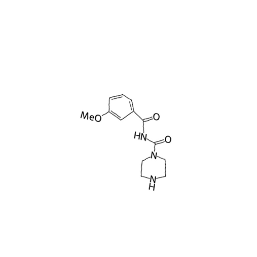 COc1cccc(C(=O)NC(=O)N2CCNCC2)c1